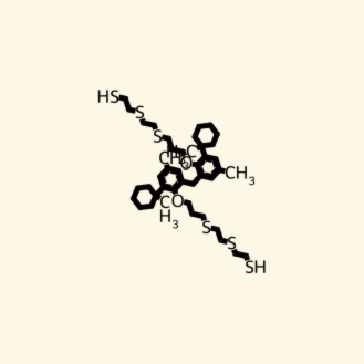 Cc1cc(Cc2cc(C)cc(C3(C)CCCCC3)c2OCCCSCCSCCS)c(OCCCSCCSCCS)c(C2(C)CCCCC2)c1